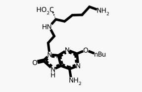 CCCCOc1nc(N)c2[nH]c(=O)n(CCN[C@@H](CCCCN)C(=O)O)c2n1